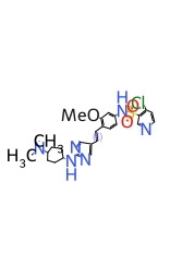 COc1cc(NS(=O)(=O)c2cnccc2Cl)ccc1/C=C/c1cnc(N[C@H]2CC[C@H](N(C)C)CC2)nc1